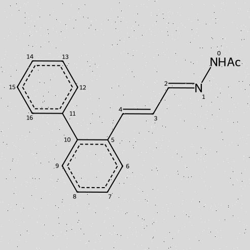 CC(=O)NN=CC=Cc1ccccc1-c1ccccc1